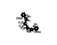 COc1cccc(OC(C)C)c1-c1cc(C(C)=O)c(-c2sc(-c3sc(-c4sc(-c5c(OC)cccc5OC(C)C)cc4C(C)=O)c(C)c3C)c(C)c2C)s1